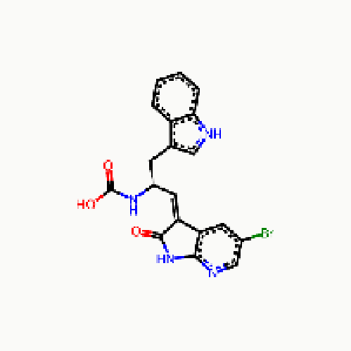 O=C(O)N[C@H](C=C1C(=O)Nc2ncc(Br)cc21)Cc1c[nH]c2ccccc12